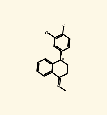 CN=C1CC[C@H](c2ccc(Cl)c(Cl)c2)c2ccccc21